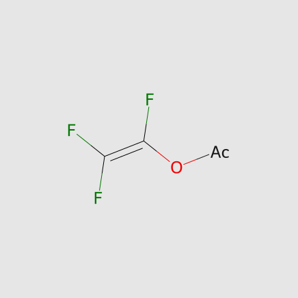 CC(=O)OC(F)=C(F)F